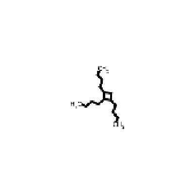 CCCCC1CC(CCCC)C1CCCC